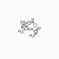 CCc1nc2c(C)cc(C)nc2n1Cc1ccc(N[C@H]2CC[C@@H](C(=O)N3CCN(C)CC3)CC2)cc1